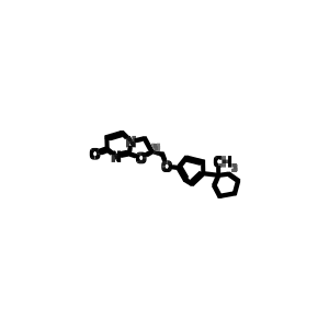 CC1(c2ccc(OC[C@@H]3Cn4ccc(=O)nc4O3)cc2)CCCCC1